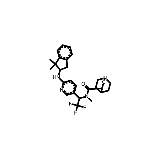 CN(C(=O)C1CN2CCC1CC2)C(c1ccc(NC2Cc3ccccc3C2(C)C)nc1)C(F)(F)F